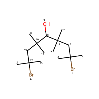 CC(C)(Br)CC(C)(C)C(O)C(C)(C)CC(C)(C)Br